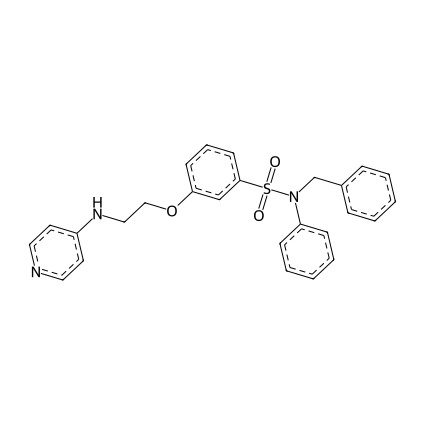 O=S(=O)(c1cccc(OCCNc2ccncc2)c1)N(Cc1ccccc1)c1ccccc1